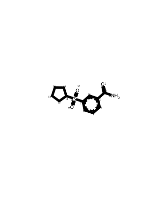 NC(=O)c1cccc(S(=O)(=O)C2CCCC2)c1